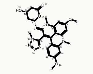 COc1ccc(C(=C(C=C[C@@H]2C[C@@H](O)CC(=O)O2)c2nnnn2C)c2ccc(OC)cc2OC)c(OC)c1